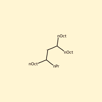 CCCCCCCCC([CH]C(CCCCCCCC)CCCCCCCC)CCC